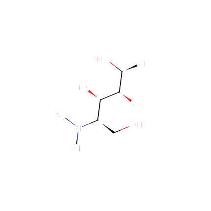 CC(=O)N(C)[C@H](CO)[C@@H](O)[C@H](O)[C@@H](O)C=O